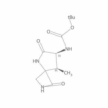 C[C@@H]1[C@H](NC(=O)OC(C)(C)C)C(=O)NC12CNC2=O